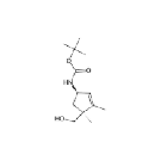 CC1=C[C@H](NC(=O)OC(C)(C)C)C[C@]1(C)CO